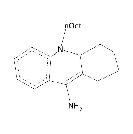 CCCCCCCCN1c2ccccc2C(N)=C2CCCCC21